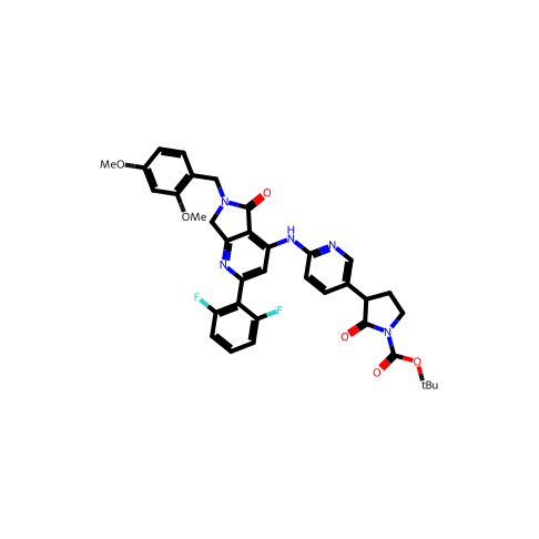 COc1ccc(CN2Cc3nc(-c4c(F)cccc4F)cc(Nc4ccc(C5CCN(C(=O)OC(C)(C)C)C5=O)cn4)c3C2=O)c(OC)c1